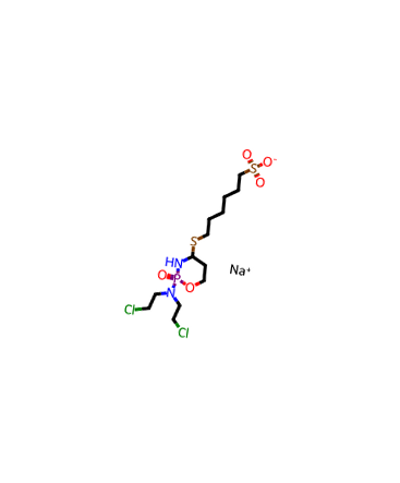 O=P1(N(CCCl)CCCl)NC(SCCCCCCS(=O)(=O)[O-])CCO1.[Na+]